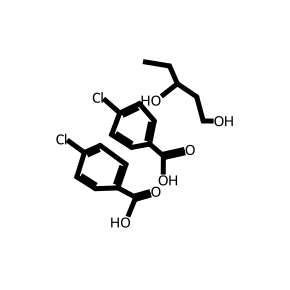 CCC(O)CCO.O=C(O)c1ccc(Cl)cc1.O=C(O)c1ccc(Cl)cc1